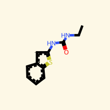 CCNC(=O)Nc1[c]c2ccccc2s1